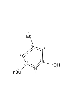 CCCCc1cc(CC)cc(O)n1